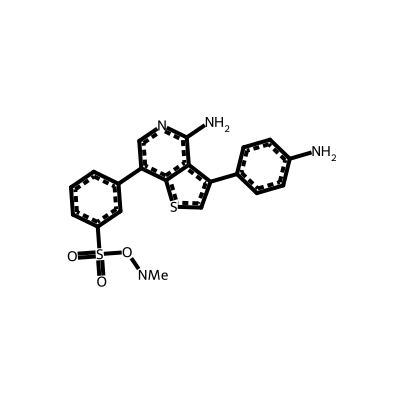 CNOS(=O)(=O)c1cccc(-c2cnc(N)c3c(-c4ccc(N)cc4)csc23)c1